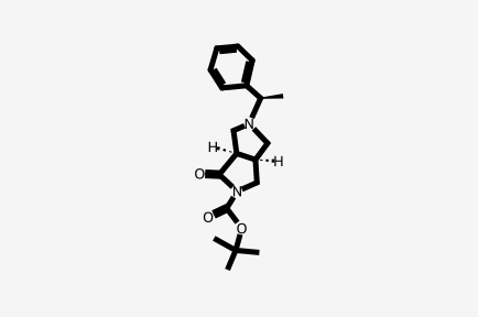 C[C@H](c1ccccc1)N1C[C@H]2CN(C(=O)OC(C)(C)C)C(=O)[C@H]2C1